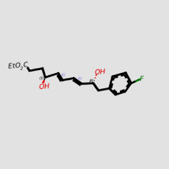 CCOC(=O)CC[C@H](O)/C=C/C=C/[C@H](O)Cc1ccc(F)cc1